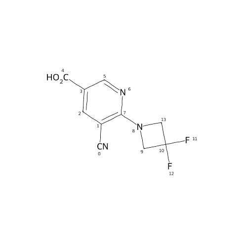 N#Cc1cc(C(=O)O)cnc1N1CC(F)(F)C1